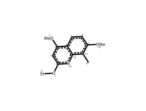 CCOc1cc(OC)c2ccc(OC)c(C)c2n1